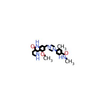 CCNC(=O)c1ccc(N2CCN(Cc3cc(OCC)c4c5c(c(=O)[nH]c4c3)CCCN5)CC2)c(C)c1